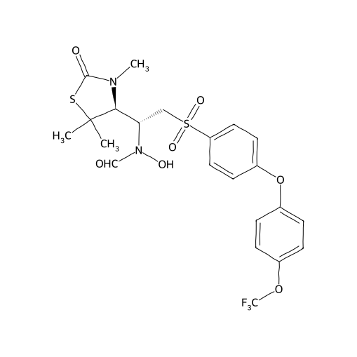 CN1C(=O)SC(C)(C)[C@@H]1[C@H](CS(=O)(=O)c1ccc(Oc2ccc(OC(F)(F)F)cc2)cc1)N(O)C=O